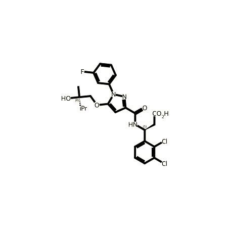 CC(C)[C@@](C)(O)COc1cc(C(=O)N[C@@H](CC(=O)O)c2cccc(Cl)c2Cl)nn1-c1cccc(F)c1